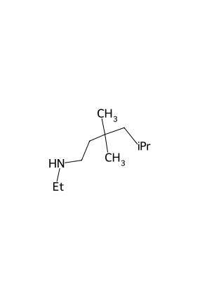 CCNCCC(C)(C)CC(C)C